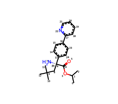 CC(C)OC(=O)[C@@](N)(CC(C)(C)C)c1ccc(-c2ccccn2)cc1